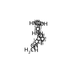 C=CC(=O)Nc1cccc(-c2c(F)ccc3cnc(Nc4ccc(C5(CO)CNCCO5)cc4)nc23)c1